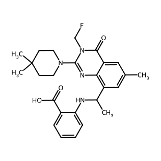 Cc1cc(C(C)Nc2ccccc2C(=O)O)c2nc(N3CCC(C)(C)CC3)n(CF)c(=O)c2c1